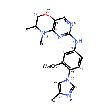 COc1cc(Nc2ncc3c(n2)N(C)C(C)CO3)ccc1-n1cnc(C)c1